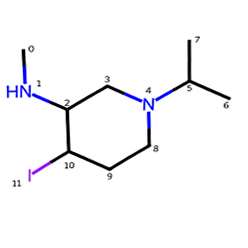 CNC1CN(C(C)C)CCC1I